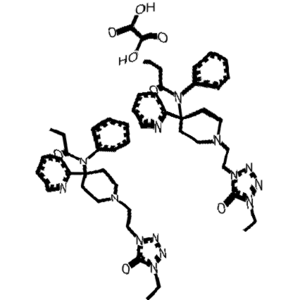 CCC(=O)N(c1ccccc1)C1(c2ccccn2)CCN(CCn2nnn(CC)c2=O)CC1.CCC(=O)N(c1ccccc1)C1(c2ccccn2)CCN(CCn2nnn(CC)c2=O)CC1.O=C(O)C(=O)O